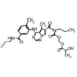 CCCNC(=O)c1ccc(C)c(Nc2ncnn3cc(C(=O)N(CCC)C(=O)OCOC(=O)C(C)O)c(C)c23)c1